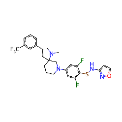 CN(C)C1(CCc2cccc(C(F)(F)F)c2)CCCN(c2cc(F)c(SNc3ccon3)c(F)c2)C1